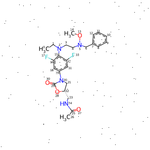 CCN(CCN(Cc1ccccc1)OC)c1c(F)cc(N2C[C@H](CNC(C)=O)OC2=O)cc1F